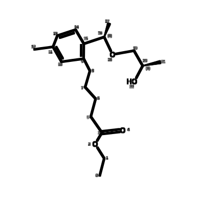 CCOC(=O)CCCCc1cc(C)ccc1[C@@H](C)OC[C@@H](C)O